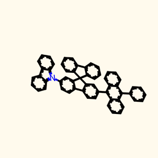 c1ccc(-c2c3ccccc3c(-c3ccc4c(c3)C3(c5ccccc5-c5ccccc53)c3cc(-n5c6ccccc6c6ccccc65)ccc3-4)c3ccccc23)cc1